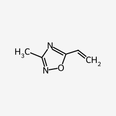 C=Cc1nc(C)no1